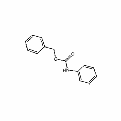 O=C(Nc1c[c]ccc1)OCc1ccccc1